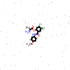 CC(C)[C@H](N)C(=O)Oc1cc(F)c(Cl)cc1C(=O)Nc1ccc(OC(F)(F)F)cc1